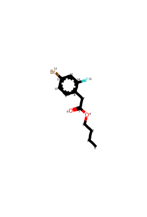 CCCCOC(=O)Cc1ccc(Br)cc1F